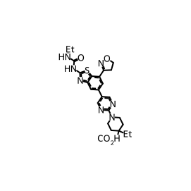 CCNC(=O)Nc1nc2cc(-c3cnc(N4CCC(CC)(C(=O)O)CC4)nc3)cc(C3=NOCC3)c2s1